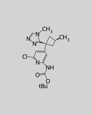 Cn1cnnc1[C@]1(c2cc(Cl)nc(NC(=O)OC(C)(C)C)c2)C[C@H](C)C1